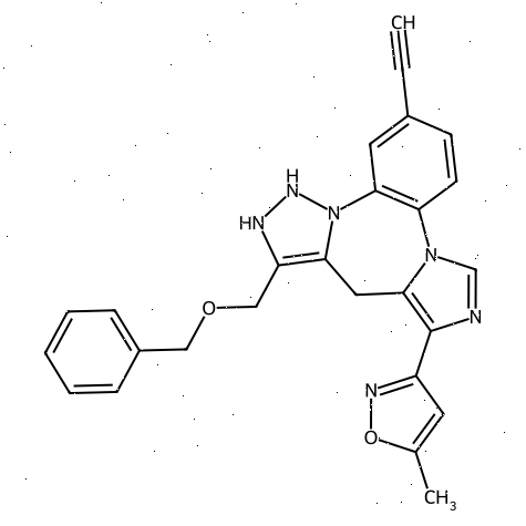 C#Cc1ccc2c(c1)N1NNC(COCc3ccccc3)=C1Cc1c(-c3cc(C)on3)ncn1-2